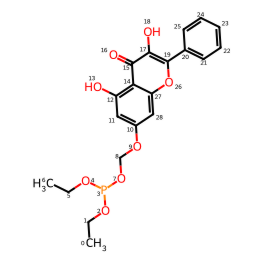 CCOP(OCC)OCOc1cc(O)c2c(=O)c(O)c(-c3ccccc3)oc2c1